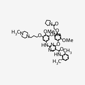 COc1cc(OCC(=O)N2CCCC2)ccc1Oc1nc(Nc2cc(OC)c(OC)c(OCCCN3CCN(C)CC3)c2)ncc1C(=O)Nc1c(C)cccc1C